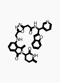 C=C1CCC(N2C(=C)c3c(NCc4nnc(CC(=O)NC(c5cccnc5)c5cc6ccccc6o5)o4)cccc3C2=O)C(=O)N1